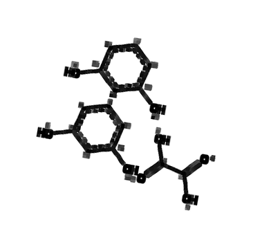 O=C(O)C(=O)O.Oc1cccc(O)c1.Oc1cccc(O)c1